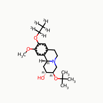 [2H]C([2H])([2H])C([2H])([2H])Oc1cc2c(cc1OC)[C@H]1C[C@@H](O)[C@H](OC(C)(C)C)CN1CC2